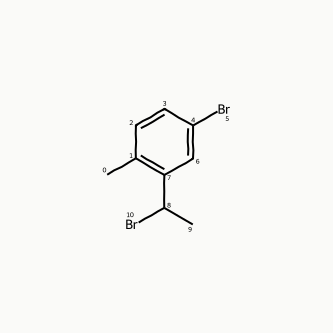 Cc1ccc(Br)cc1C(C)Br